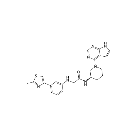 Cc1nc(-c2cccc(NCC(=O)N[C@@H]3CCCN(c4ncnc5[nH]ccc45)C3)c2)cs1